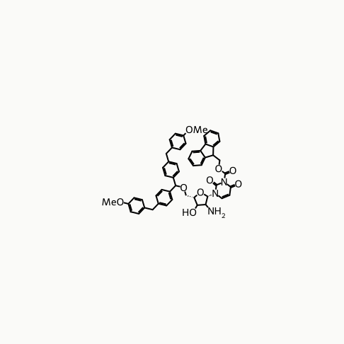 COc1ccc(Cc2ccc(C(OC[C@@H]3O[C@H](n4ccc(=O)n(C(=O)OCC5c6ccccc6-c6ccccc65)c4=O)C(N)C3O)c3ccc(Cc4ccc(OC)cc4)cc3)cc2)cc1